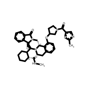 CNC(=O)[C@@H]1CCCCC1C(=O)N1CCc2cccc(OC3CCN(C(=O)c4cnc(C)s4)C3)c2[C@H]1CN1C(=O)c2ccccc2C1=O